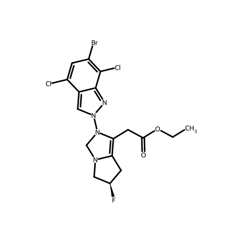 CCOC(=O)CC1=C2C[C@@H](F)CN2CN1n1cc2c(Cl)cc(Br)c(Cl)c2n1